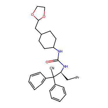 CC(C)C[C@H](NC(=O)NC1CCC(CC2OCCO2)CC1)C(C#N)(c1ccccc1)c1ccccc1